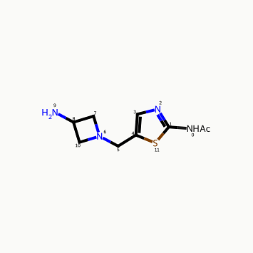 CC(=O)Nc1ncc(CN2CC(N)C2)s1